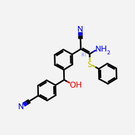 N#C/C(=C(\N)Sc1ccccc1)c1cccc(C(O)c2ccc(C#N)cc2)c1